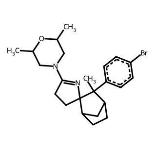 CC1CN(C2=NC3(CC2)C2CCC(C2)C3(C)c2ccc(Br)cc2)CC(C)O1